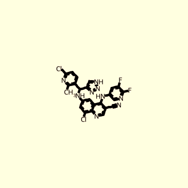 Cc1nc(Cl)ccc1C(Nc1cc(Cl)c2ncc(C#N)c(Nc3cnc(F)c(F)c3)c2c1)c1c[nH]nn1